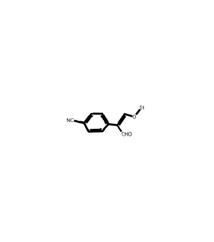 CCOC=C(C=O)c1ccc(C#N)cc1